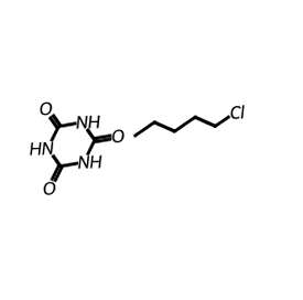 CCCCCCl.O=c1[nH]c(=O)[nH]c(=O)[nH]1